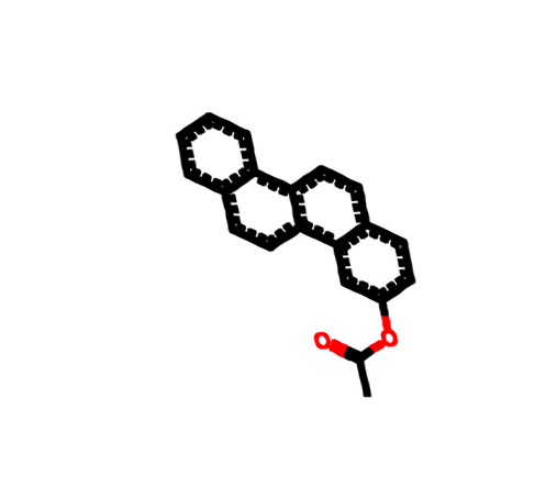 CC(=O)Oc1ccc2ccc3c4ccccc4ccc3c2c1